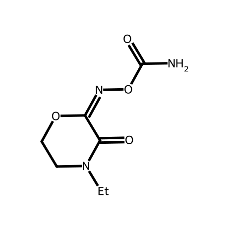 CCN1CCOC(=NOC(N)=O)C1=O